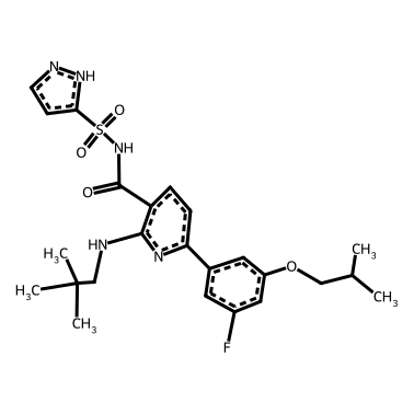 CC(C)COc1cc(F)cc(-c2ccc(C(=O)NS(=O)(=O)c3ccn[nH]3)c(NCC(C)(C)C)n2)c1